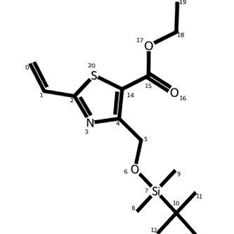 C=Cc1nc(CO[Si](C)(C)C(C)(C)C)c(C(=O)OCC)s1